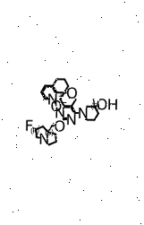 C[C@@]1(O)CCCN(c2nc(OC[C@@]34CCCN3C[C@H](F)C4)nc3c2COC2(CCCc4ccc[n+]([O-])c42)C3)C1